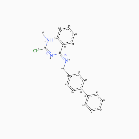 CN/C(Cl)=N\C(=N/Cc1ccc(-c2ccccc2)cc1)c1ccccc1